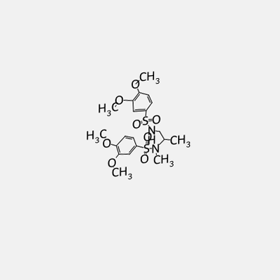 COc1ccc(S(=O)(=O)NCC(C)N(C)S(=O)(=O)c2ccc(OC)c(OC)c2)cc1OC